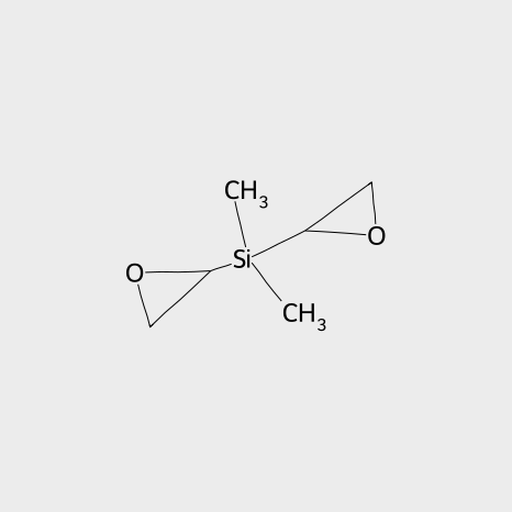 C[Si](C)(C1CO1)C1CO1